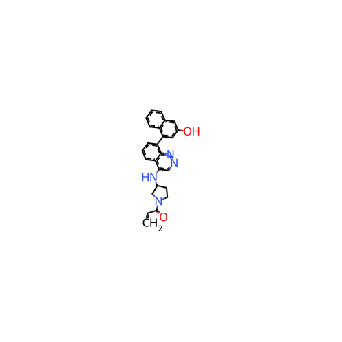 C=CC(=O)N1CCC(Nc2cnnc3c(-c4cc(O)cc5ccccc45)cccc23)C1